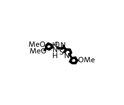 COc1cccc(-c2ccc3c(N)c(C(=O)Nc4ccc(OC)c(OC)c4)sc3n2)c1